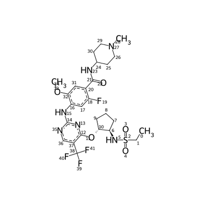 CCS(=O)(=O)N[C@@H]1CCC[C@H]1Oc1nc(Nc2cc(F)c(C(=O)NC3CCN(C)CC3)cc2OC)ncc1C(F)(F)F